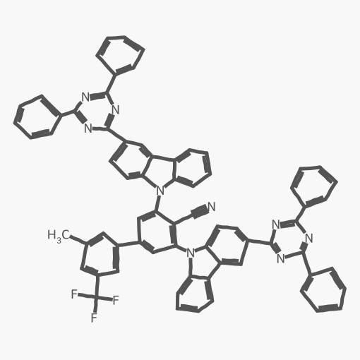 Cc1cc(-c2cc(-n3c4ccccc4c4cc(-c5nc(-c6ccccc6)nc(-c6ccccc6)n5)ccc43)c(C#N)c(-n3c4ccccc4c4cc(-c5nc(-c6ccccc6)nc(-c6ccccc6)n5)ccc43)c2)cc(C(F)(F)F)c1